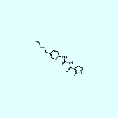 CCCCCc1ccc(NC(=S)NC(=O)c2snnc2C)cc1